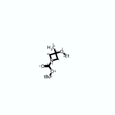 CCOC1(C)CN(C(=O)OC(C)(C)C)C1